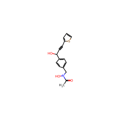 CC(=O)N(O)Cc1ccc(C(O)C#Cc2cccs2)cc1